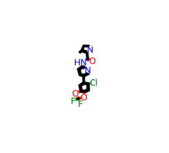 CC1=C(C(=O)Nc2ccc(-c3cc4c(cc3Cl)OC(F)(F)O4)cn2)N=CC1